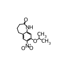 CC(C)Oc1cc2c(cc1[N+](=O)[O-])CCCC(=O)N2